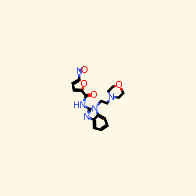 O=Nc1ccc(C(=O)Nc2nc3ccccc3n2CCN2CCOCC2)o1